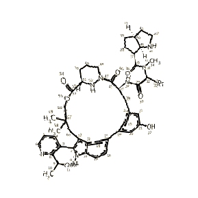 CCn1c(-c2cccnc2[C@H](C)OC)c2c3cc(ccc31)-c1cc(O)cc(c1)C[C@H](NC(=O)C(C(C)C)N(C)C(=O)[C@H]1CC[C@H]3CCN[C@H]31)C(=O)N1CCC[C@H](N1)C(=O)OCC(C)(C)C2